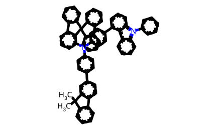 CC1(C)c2ccccc2-c2ccc(-c3ccc(N(c4ccc(-c5cccc6c5c5ccccc5n6-c5ccccc5)cc4)c4cccc5c4C4(c6ccccc6-c6ccccc64)c4ccccc4-5)cc3)cc21